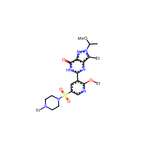 CCOc1ncc(S(=O)(=O)N2CCN(CC)CC2)cc1-c1nc2c(CC)n(C(C)OC)nc2c(=O)[nH]1